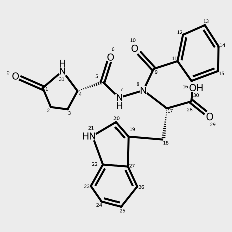 O=C1CC[C@@H](C(=O)NN(C(=O)c2ccccc2)[C@@H](Cc2c[nH]c3ccccc23)C(=O)O)N1